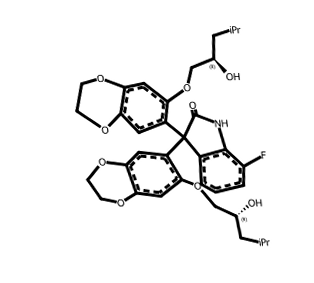 CC(C)C[C@@H](O)COc1cc2c(cc1C1(c3cc4c(cc3OC[C@H](O)CC(C)C)OCCO4)C(=O)Nc3c(F)cccc31)OCCO2